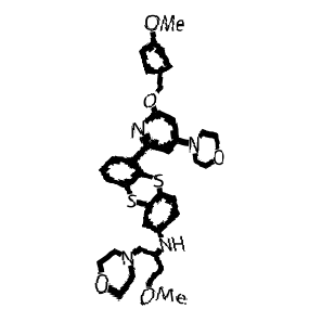 COCCC(CN1CCOCC1)Nc1ccc2c(c1)Sc1cccc(-c3cc(N4CCOCC4)cc(OCc4ccc(OC)cc4)n3)c1S2